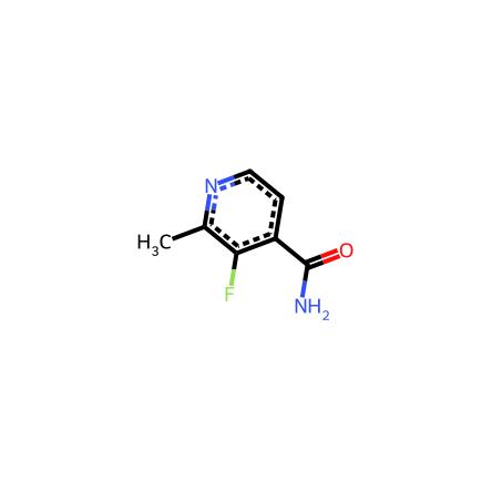 Cc1nccc(C(N)=O)c1F